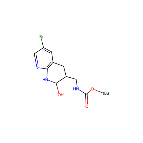 CC(C)(C)OC(=O)NCC1Cc2cc(Br)cnc2NC1O